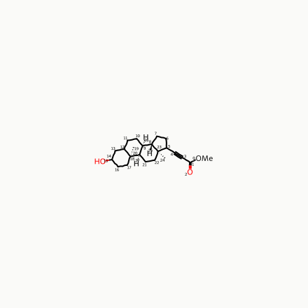 COC(=O)C#CC1CC[C@H]2[C@@H]3CCC4CC(O)CC[C@]4(C)[C@@H]3CC[C@]12C